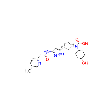 Cc1ccc(CC(=O)Nc2cc([C@@H]3CC[C@H](N(C(=O)O)[C@H]4CC[C@@H](O)CC4)C3)[nH]n2)nc1